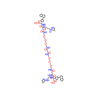 Cc1ccnc(NCCCC(=O)N[C@@H](CCC(=O)NCCOCCOCCOCCNC(=O)CCC(=O)NCCOCCOCCOCCNC(=O)CC[C@H](NC(=O)CCCNc2cc(C)ccn2)C(=O)NC(CC(=O)O)c2ccc(-c3cccc4ccccc34)cc2)C(=O)NC(CC(=O)O)c2ccc(-c3cccc4ccccc34)cc2)c1